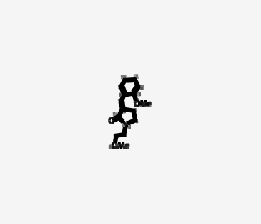 COCCN1CCC(=Cc2ccccc2OC)C1=O